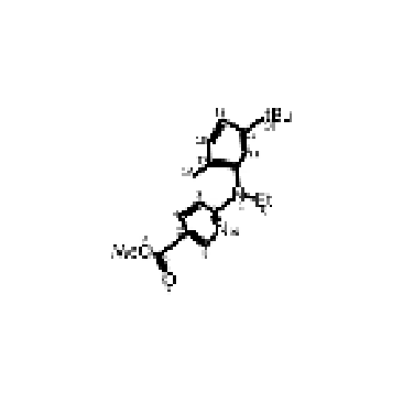 CCN(c1ccc(C(=O)OC)cn1)c1cc(C(C)(C)C)ccc1C